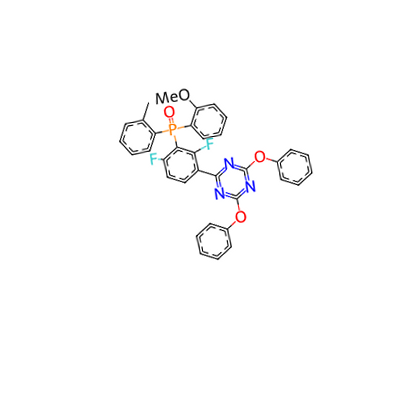 COc1ccccc1P(=O)(c1ccccc1C)c1c(F)ccc(-c2nc(Oc3ccccc3)nc(Oc3ccccc3)n2)c1F